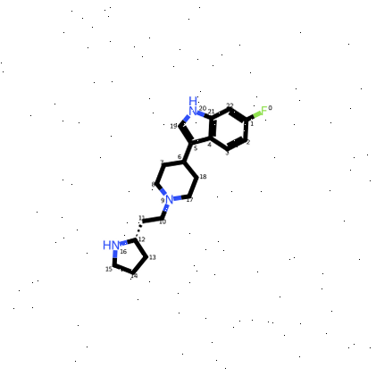 Fc1ccc2c(C3CCN(CC[C@@H]4CCCN4)CC3)c[nH]c2c1